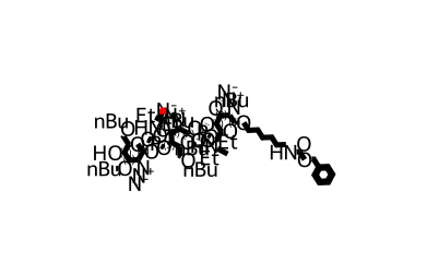 CCCCOCC1O[C@H](OP(=O)(ONC(C)(CC)CC)O[C@@H]2C(COCCCC)O[C@H](OP(=O)(ONC(C)(CC)CC)O[C@@H]3C(COCCCC)O[C@H](OCCCCCCNC(=O)OCc4ccccc4)C(N=[N+]=[N-])[C@H]3OCCCC)C(N=[N+]=[N-])[C@H]2OCCCC)C(N=[N+]=[N-])[C@@H](OCCCC)[C@@H]1O